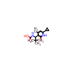 Cc1cc(C2CC2)[nH]c(=O)c1C(NC(=O)O)C(C)(C)C